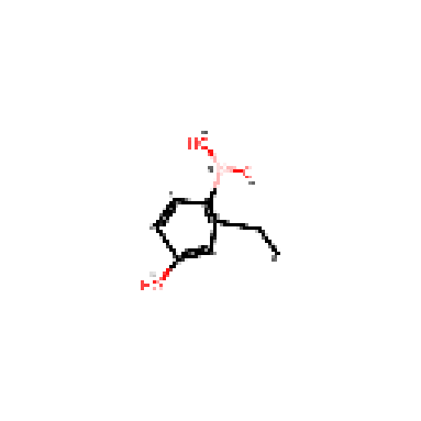 CCc1cc(O)ccc1B(O)O